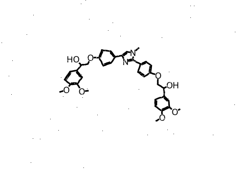 COc1ccc(C(O)COc2ccc(-c3cn(C)c(-c4ccc(OCC(O)c5ccc(OC)c(OC)c5)cc4)n3)cc2)cc1OC